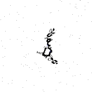 C/C(=C\c1cc(F)cc(NC2CCN(S(C)(=O)=O)CC2)c1)[C@H]1OC(=O)C[C@H](O)CC[C@H](C)[C@@H](OC(=O)N2CCN(C)CC2)/C=C/[C@@H]1C